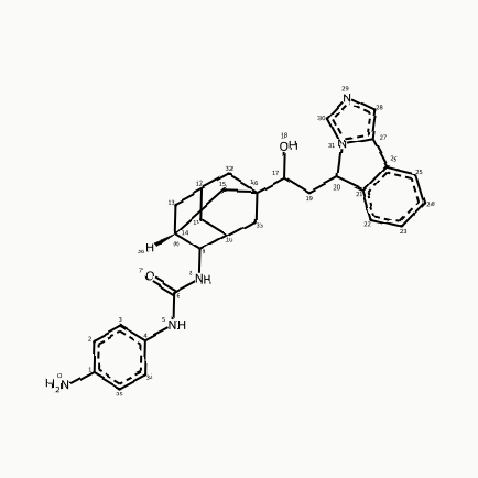 Nc1ccc(NC(=O)NC2C3CC4C[C@@H]2CC(C(O)CC2c5ccccc5-c5cncn52)(C4)C3)cc1